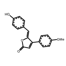 COc1ccc(C2=CC(=O)OC2=Cc2ccc(O)cc2)cc1